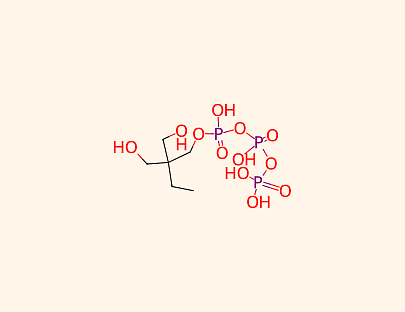 CCC(CO)(CO)COP(=O)(O)OP(=O)(O)OP(=O)(O)O